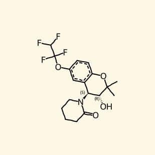 CC1(C)Oc2ccc(OC(F)(F)C(F)F)cc2[C@H](N2CCCCC2=O)[C@H]1O